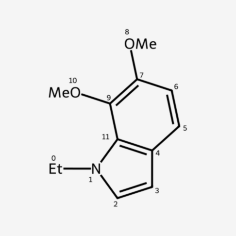 CCn1ccc2ccc(OC)c(OC)c21